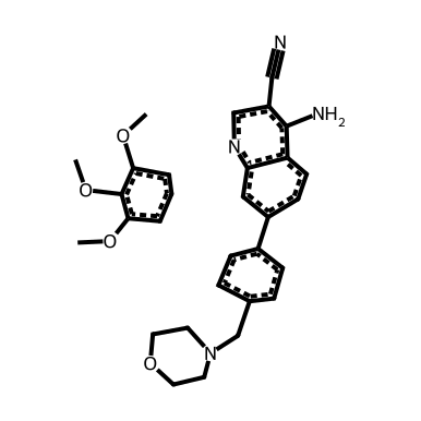 COc1cccc(OC)c1OC.N#Cc1cnc2cc(-c3ccc(CN4CCOCC4)cc3)ccc2c1N